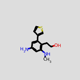 CNc1cc(N)cc(-c2ccsc2)c1CCO